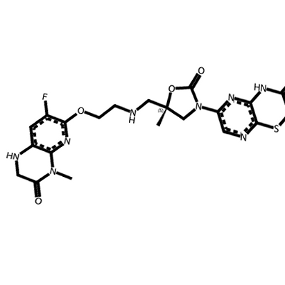 CN1C(=O)CNc2cc(F)c(OCCNC[C@@]3(C)CN(c4cnc5c(n4)NC(=O)CS5)C(=O)O3)nc21